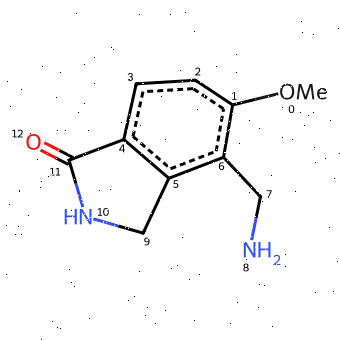 COc1ccc2c(c1CN)CNC2=O